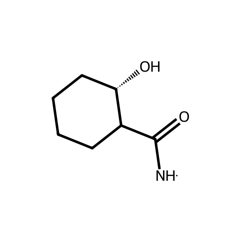 [NH]C(=O)C1CCCC[C@@H]1O